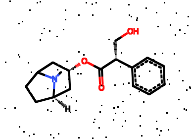 CN1C2CC[C@@H]1C[C@@H](OC(=O)[C@H](CO)c1ccccc1)C2